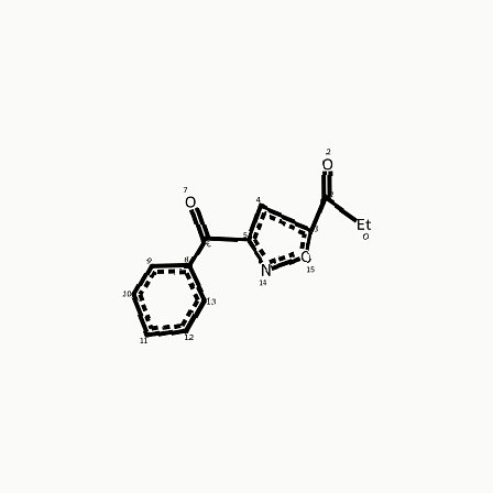 CCC(=O)c1cc(C(=O)c2ccccc2)no1